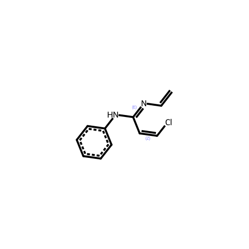 C=C/N=C(\C=C/Cl)Nc1ccccc1